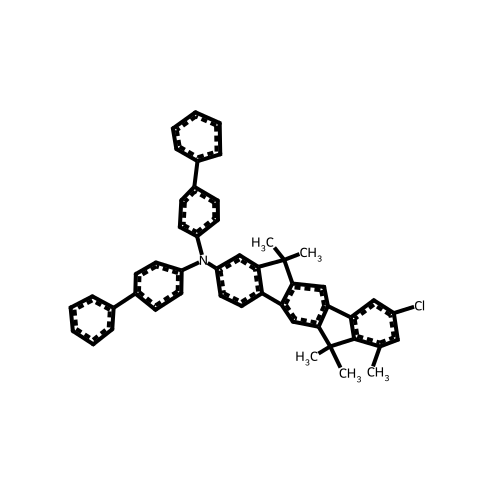 Cc1cc(Cl)cc2c1C(C)(C)c1cc3c(cc1-2)C(C)(C)c1cc(N(c2ccc(-c4ccccc4)cc2)c2ccc(-c4ccccc4)cc2)ccc1-3